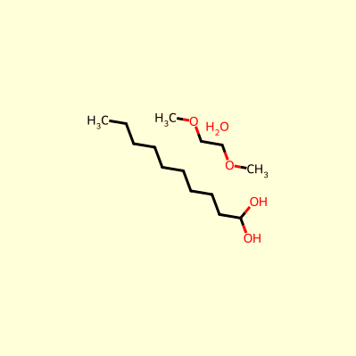 CCCCCCCCCC(O)O.COCCOC.O